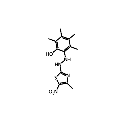 Cc1nc(NNc2c(C)c(C)c(C)c(C)c2O)sc1[N+](=O)[O-]